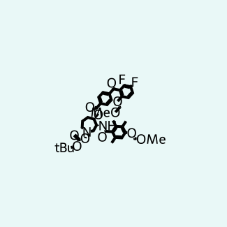 COCOc1cc(C)c(C(=O)N[C@@H]2CN(OC(=O)OC(C)(C)C)CCC[C@H]2OC(=O)c2ccc(C(=O)c3c(OCOC)ccc(F)c3F)cc2)c(C)c1C